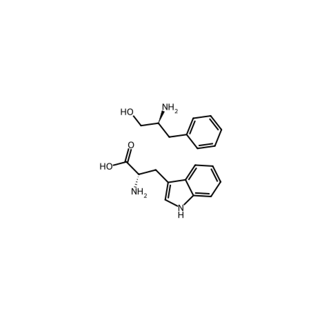 N[C@@H](Cc1c[nH]c2ccccc12)C(=O)O.N[C@H](CO)Cc1ccccc1